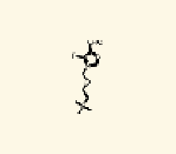 C[Si](C)(C)CCOCn1cnc(C=O)c1F